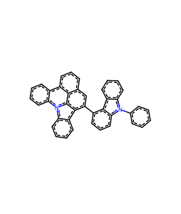 c1ccc(-n2c3ccccc3c3c(-c4cc5cccc6c7ccccc7n7c8ccccc8c4c7c56)cccc32)cc1